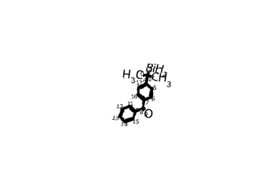 C[C](C)([BiH2])c1ccc(C(=O)c2ccccc2)cc1